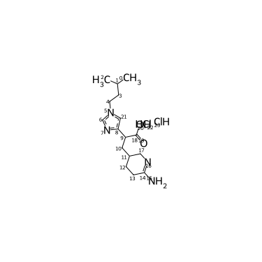 CC(C)CCn1cnc(C(CC2CCC(N)=NC2)C(=O)O)c1.Cl.Cl